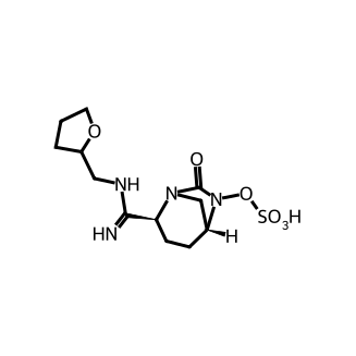 N=C(NCC1CCCO1)[C@@H]1CC[C@@H]2CN1C(=O)N2OS(=O)(=O)O